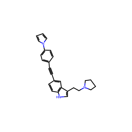 C(#Cc1ccc2[nH]cc(CCN3CCCC3)c2c1)c1ccc(-n2cccc2)cc1